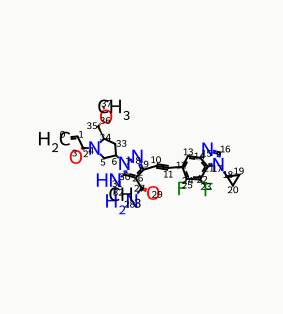 C=CC(=O)N1CC(n2nc(C#Cc3cc4ncn(C5CC5)c4c(F)c3F)c(C(N)=O)c2NC)C[C@@H]1COC